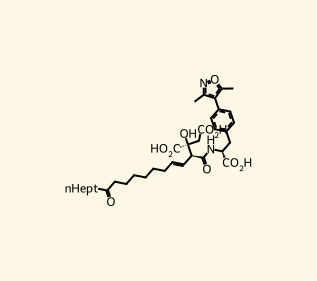 CCCCCCCC(=O)CCCCCC/C=C/[C@H](C(=O)N[C@@H](Cc1ccc(-c2c(C)noc2C)cc1)C(=O)O)[C@@](O)(CC(=O)O)C(=O)O